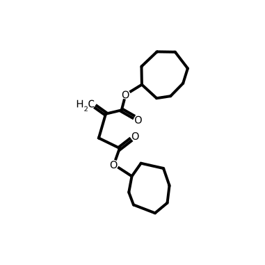 C=C(CC(=O)OC1CCCCCCC1)C(=O)OC1CCCCCCC1